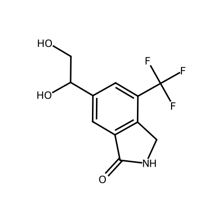 O=C1NCc2c1cc(C(O)CO)cc2C(F)(F)F